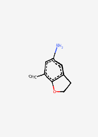 Nc1cc(C=O)c2c(c1)CCO2